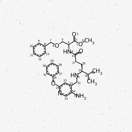 COC(=O)C(COCc1ccccc1)NC(=O)CC[C@H](NCc1cc(Oc2ccccc2)ncc1N)C(C)C